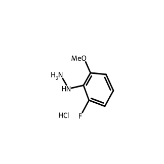 COc1cccc(F)c1NN.Cl